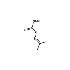 CNC(=O)ON=C(C)C